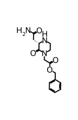 NC(=O)C[C@@H]1NCCN(CC(=O)OCc2ccccc2)C1=O